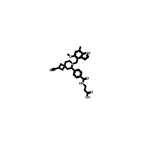 COc1cc(C)c2[nH]ccc2c1CN1CCC2(CC(C#N)C2)CC1c1ccc(C(=O)NCCC(=O)O)cc1